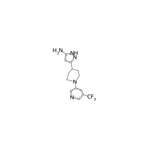 Nc1cc(C2CCN(c3cncc(C(F)(F)F)c3)CC2)n[nH]1